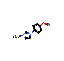 CCCCn1cc[n+](-c2ccc(OCC)cc2)c1.[I-]